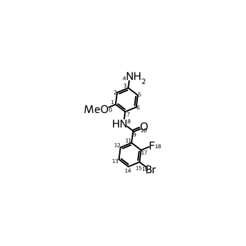 COc1cc(N)ccc1NC(=O)c1cccc(Br)c1F